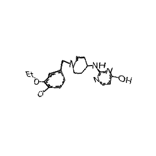 CCOc1cc(CN2CCC(Nc3nccc(O)n3)CC2)ccc1Cl